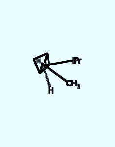 CC(C)N1C2CC(C2)[C@H]1C